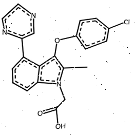 Cc1c(Oc2ccc(Cl)cc2)c2c(-c3cnccn3)cccc2n1CC(=O)O